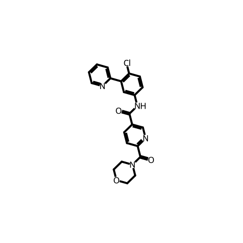 O=C(Nc1ccc(Cl)c(-c2ccccn2)c1)c1ccc(C(=O)N2CCOCC2)nc1